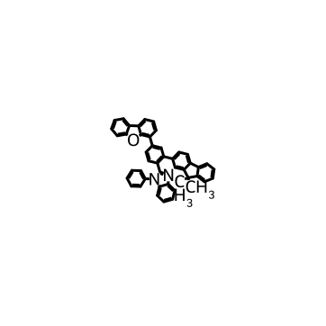 CC1(C)c2ccccc2-c2ccc(-c3cc(-c4cccc5c4oc4ccccc45)ccc3-c3nc4ccccc4n3-c3ccccc3)cc21